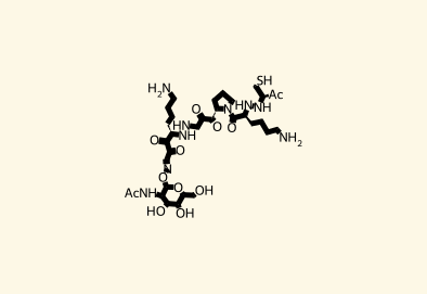 CC(=O)NC1C(O/N=C/C(=O)C(=O)[C@H](CCCCN)NNCC(=O)C(=O)[C@@H]2CCCN2C(=O)[C@H](CCCCN)NN[C@@H](CS)C(C)=O)OC(CO)C(O)C1O